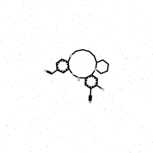 N#Cc1cc2c(cc1Cl)N1CCCCC1CCCCOc1ccc(C=O)cc1SN2